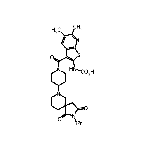 Cc1cc2c(C(=O)N3CCC(N4CCCC5(CC(=O)N(C(C)C)C5=O)C4)CC3)c(NC(=O)O)sc2nc1C